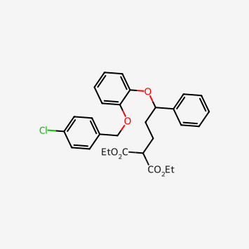 CCOC(=O)C(CCC(Oc1ccccc1OCc1ccc(Cl)cc1)c1ccccc1)C(=O)OCC